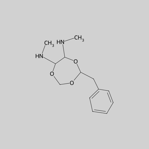 CNC1OCOC(Cc2ccccc2)OC1NC